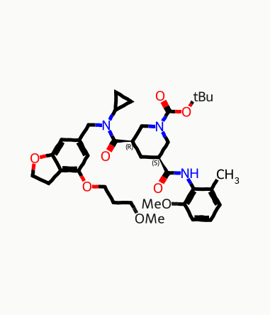 COCCCOc1cc(CN(C(=O)[C@@H]2C[C@H](C(=O)Nc3c(C)cccc3OC)CN(C(=O)OC(C)(C)C)C2)C2CC2)cc2c1CCO2